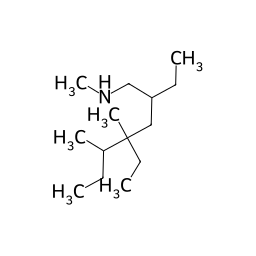 CCC(CNC)CC(C)(CC)C(C)CC